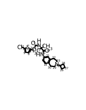 CC(C)(NC(=O)Oc1ccc(Cl)s1)C(=O)Nc1ccc2c(c1)CCN(C1CCC1)CC2